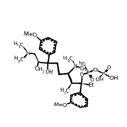 CC[C@@](OP(=O)(O)OP(=O)(O)O)(c1cccc(OC)c1)[C@@H](C)C(CCC(O)(c1cccc(OC)c1)C(C)CN(C)C)N(C)C